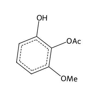 COc1cccc(O)c1OC(C)=O